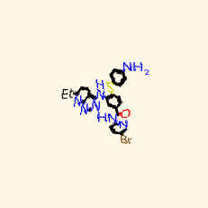 CCc1ccc2c(Nc3cc(C(=O)Nc4ccc(Br)cn4)ccc3Sc3ccc(N)cc3)ncnc2n1